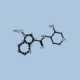 O=C(NC1CCOCC1O)c1cn(C(=O)O)c2cccnc12